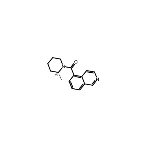 C[C@@H]1CCCCN1C(=O)c1cccc2cnccc12